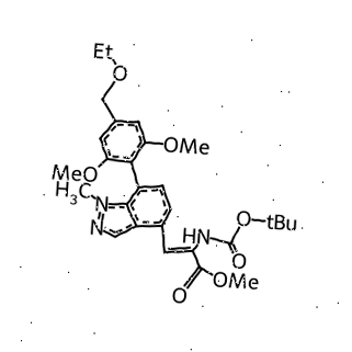 CCOCc1cc(OC)c(-c2ccc(/C=C(\NC(=O)OC(C)(C)C)C(=O)OC)c3cnn(C)c23)c(OC)c1